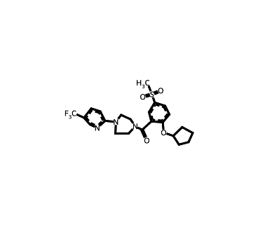 CS(=O)(=O)c1ccc(OC2CCCC2)c(C(=O)N2CCN(c3ccc(C(F)(F)F)cn3)CC2)c1